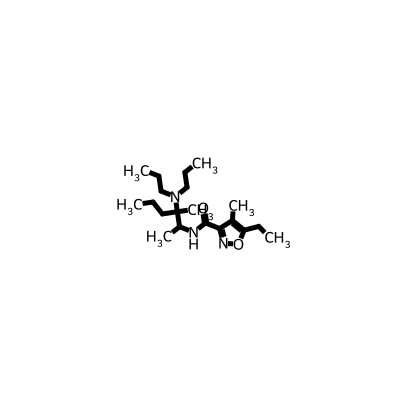 CCCN(CCC)C(C)(CCC)C(C)NC(=O)c1noc(CC)c1C